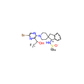 CC(C)(C)[S+]([O-])N[C@@H]1c2ccccc2CC12CCN(c1ncc(Br)nc1C(O)C(F)(F)F)CC2